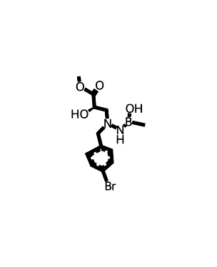 COC(=O)[C@H](O)CN(Cc1ccc(Br)cc1)NB(C)O